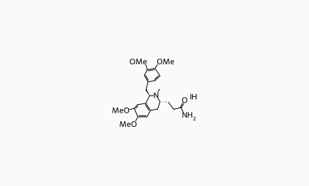 COc1ccc(C[C@@H]2c3cc(OC)c(OC)cc3C[C@@H](CCC(N)=O)N2C)cc1OC.I